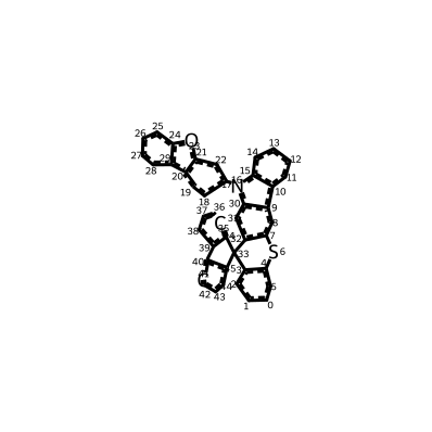 c1ccc2c(c1)Sc1cc3c4ccccc4n(-c4ccc5c(c4)oc4ccccc45)c3cc1C21c2ccccc2-c2ccccc21